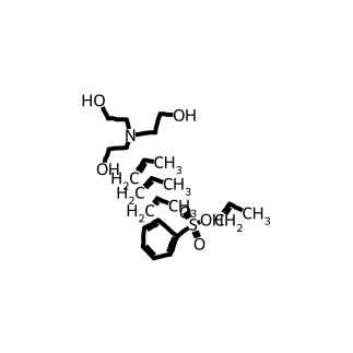 C=CC.C=CC.C=CC.C=CC.O=S(=O)(O)c1ccccc1.OCCN(CCO)CCO